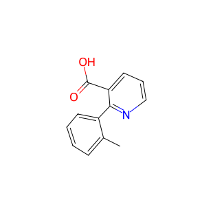 Cc1ccccc1-c1ncccc1C(=O)O